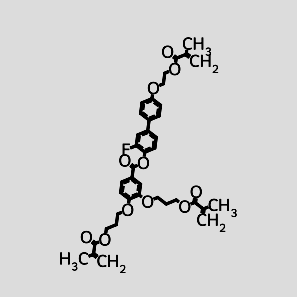 C=C(C)C(=O)OCCCOc1ccc(C(=O)Oc2ccc(-c3ccc(OCCOC(=O)C(=C)C)cc3)cc2F)cc1OCCCOC(=O)C(=C)C